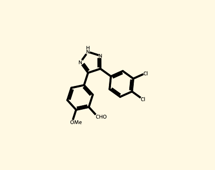 COc1ccc(-c2n[nH]nc2-c2ccc(Cl)c(Cl)c2)cc1C=O